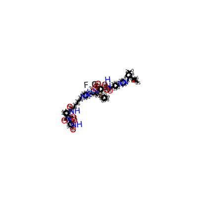 CC1(C)CCC(CN2CCN(c3ccc(C(=O)NS(=O)(=O)c4ccc(N[C@H](CCN5CCN(CCCCCCC(=O)Nc6cccc7c6C(=O)N(C6CCC(=O)NC6=O)C7=O)CC5)CSc5ccccc5)c(S(=O)(=O)C(F)(F)F)c4)cc3)CC2)=C(C23CC(C)(C2)C3)C1